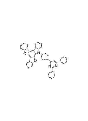 c1ccc(-c2cc(-c3ccc(-n4c5ccccc5c5c6c7ccccc7oc6c6c7ccccc7oc6c54)cc3)nc(-c3ccccc3)n2)cc1